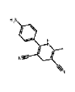 CC1=C(C#N)CC(C#N)=C(c2ccc(N)cc2)N1